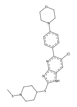 CSN1CCC(Sc2nc3nc(-c4ccc(N5CCOCC5)cc4)c(Cl)cc3[nH]2)CC1